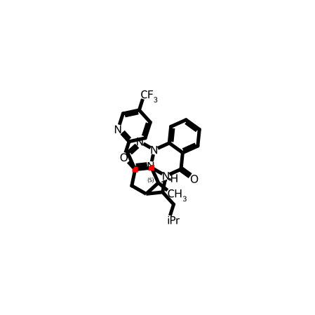 CC(C)CC1C2CC(Oc3ccc(C(F)(F)F)cn3)C([C@H]2C)N1C(=O)c1ccccc1-n1nccn1